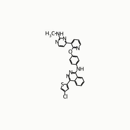 CNc1nccc(-c2cccnc2Oc2ccc(Nc3nnc(-c4cc(Cl)cs4)c4ccccc34)cc2)n1